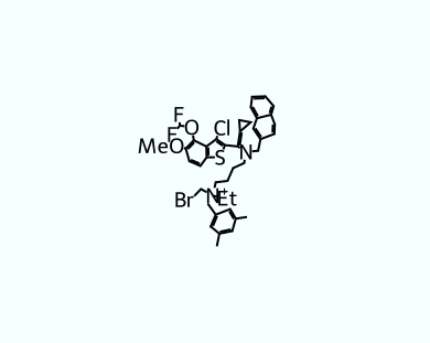 CC[N+](CBr)(CCCCN(Cc1ccc2ccccc2c1)C(=C1CC1)c1sc2ccc(OC)c(OC(F)F)c2c1Cl)Cc1cc(C)cc(C)c1